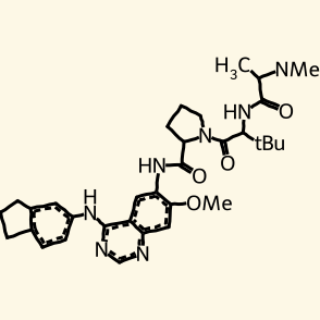 CNC(C)C(=O)NC(C(=O)N1CCCC1C(=O)Nc1cc2c(Nc3ccc4c(c3)CCC4)ncnc2cc1OC)C(C)(C)C